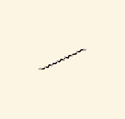 SCCSCCSCCSSCCSCCSCCSCS